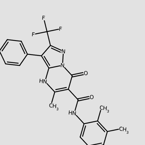 Cc1cccc(NC(=O)c2c(C)[nH]c3c(-c4ccccc4)c(C(F)(F)F)nn3c2=O)c1C